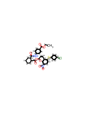 CCOC(=O)c1ccc(NC(=O)C2CCCCC2C(=O)OC(=O)/C=C\c2cc([N+](=O)[O-])ccc2Sc2ccc(Cl)cc2)cc1